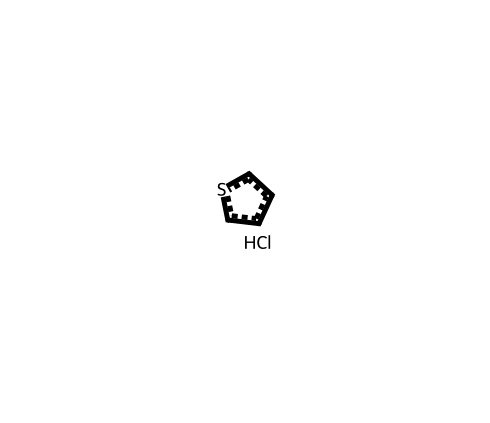 Cl.c1ccsc1